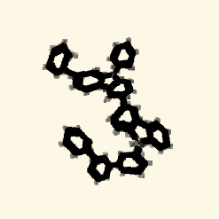 c1ccc(-c2cccc(-c3cccc(-n4c5ccccc5c5cc(-c6ccc7c(c6)c6ccc(-c8ccccc8)cc6n7-c6ccccc6)ccc54)c3)c2)cc1